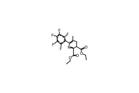 CCOC(=O)C1=NC(c2c(F)c(F)c(F)c(F)c2F)=C(C)CC1C(=O)OCC